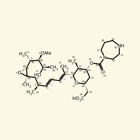 CO[C@H]([C@@H](C)[C@H]1O[C@]1(C)C[C@H](C)/C=C/C=C(\C)[C@H]1O[C@@H](CC(=O)O)C[C@@H](OC(=O)N2CCCNCC2)[C@@H]1C)[C@@H](C)O